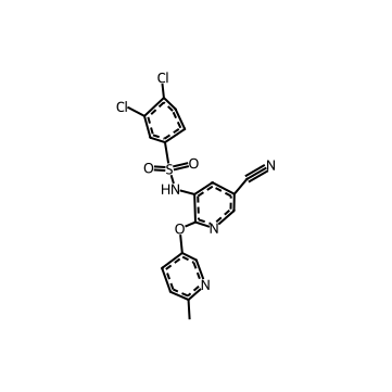 Cc1ccc(Oc2ncc(C#N)cc2NS(=O)(=O)c2ccc(Cl)c(Cl)c2)cn1